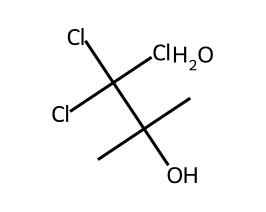 CC(C)(O)C(Cl)(Cl)Cl.O